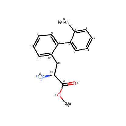 COc1ccccc1-c1ccccc1C[C@H](N)C(=O)OC(C)(C)C